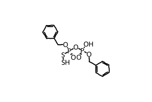 O=P(O)(OCc1ccccc1)OP(=O)(OCc1ccccc1)SS